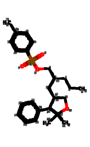 CCC[C@@H](COS(=O)(=O)c1ccc(C)cc1)C[C@H]1COC(C)(C)C1c1ccccc1